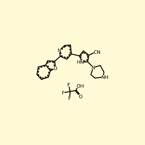 N#Cc1cc(-c2ccnc(-c3cc4ccccc4o3)c2)[nH]c1N1CCNCC1.O=C(O)C(F)(F)F